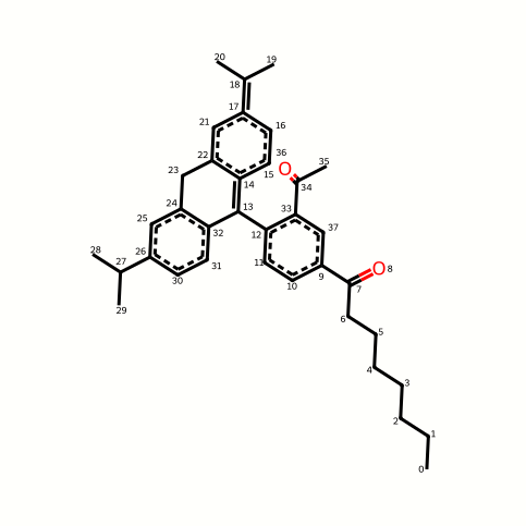 CCCCCCCC(=O)c1ccc(C2=c3ccc(=C(C)C)cc3Cc3cc(C(C)C)ccc32)c(C(C)=O)c1